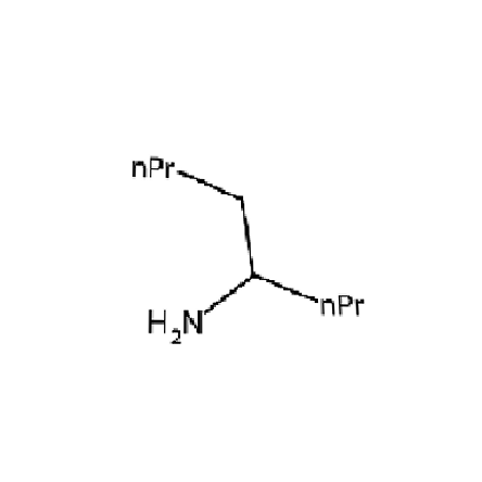 [CH2]CCCC(N)CCC